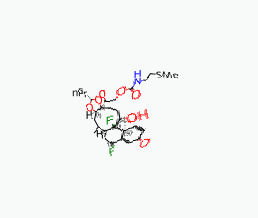 CCCC1O[C@@H]2CC(C)[C@@H]3C[C@H](F)C4=CC(=O)C=C[C@]4(C)[C@@]3(F)[C@@H](O)CC[C@]2(C(=O)COC(=O)NCCSC)O1